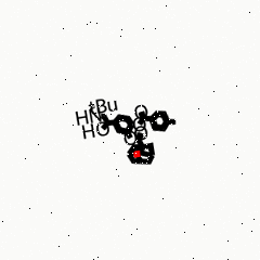 Cc1ccc(C(=O)Oc2ccc(C(O)CNC(C)(C)C)cc2OC(=O)C23CC4CC(CC(C4)C2)C3)cc1